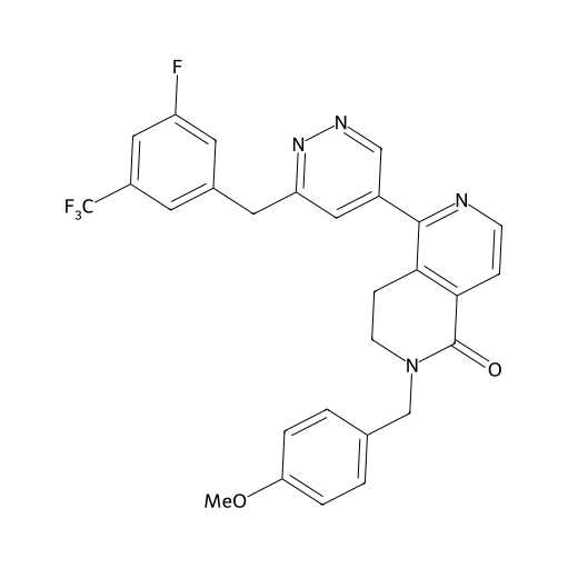 COc1ccc(CN2CCc3c(ccnc3-c3cnnc(Cc4cc(F)cc(C(F)(F)F)c4)c3)C2=O)cc1